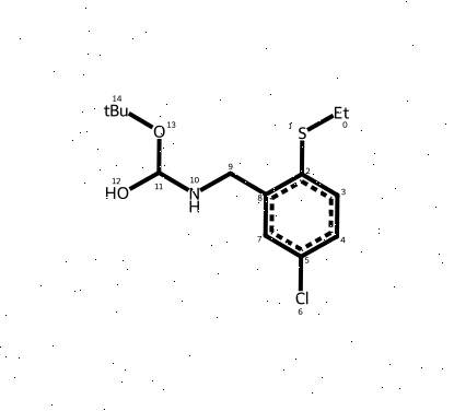 CCSc1ccc(Cl)cc1CNC(O)OC(C)(C)C